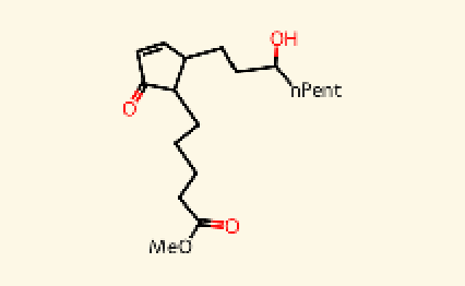 CCCCCC(O)CCC1C=CC(=O)C1CCCCC(=O)OC